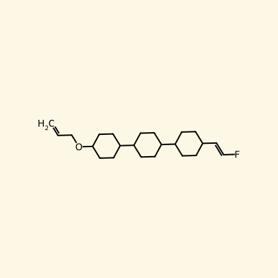 C=CCOC1CCC(C2CCC(C3CCC(/C=C/F)CC3)CC2)CC1